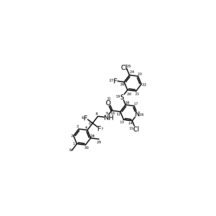 Cc1ccc(C(F)(F)CNC(=O)c2cc(Cl)ncc2Sc2cccc(Cl)c2F)c(C)c1